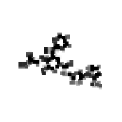 Cc1ccnn1-c1nnc(NC(=O)c2cc(Nc3ncccn3)c(OCC(=O)O)c(=O)o2)s1